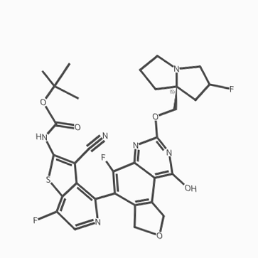 CC(C)(C)OC(=O)Nc1sc2c(F)cnc(-c3c4c(c5c(O)nc(OC[C@@]67CCCN6CC(F)C7)nc5c3F)COC4)c2c1C#N